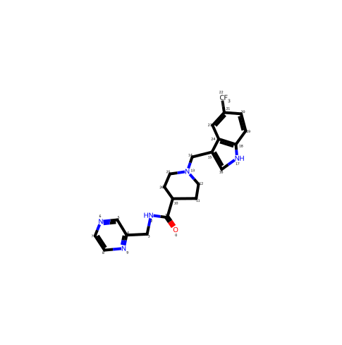 O=C(NCc1cnccn1)C1CCN(Cc2c[nH]c3ccc(C(F)(F)F)cc23)CC1